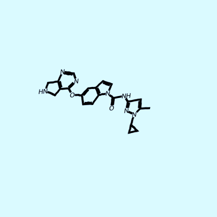 Cc1cc(NC(=O)n2ccc3cc(Oc4ncnc5c4CNC5)ccc32)nn1C1CC1